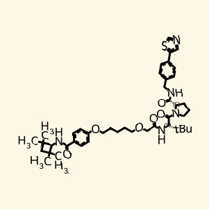 CC1(C)CC(C)(C)C1NC(=O)c1ccc(OCCCCCOCC(=O)N[C@H](C(=O)N2CCC[C@H]2C(=O)NCc2ccc(-c3cncs3)cc2)C(C)(C)C)cc1